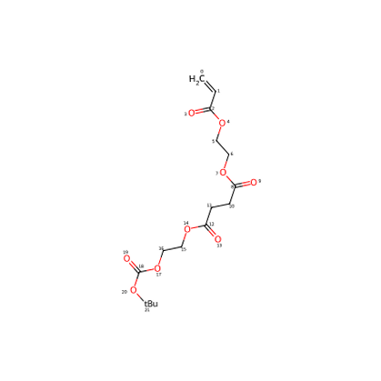 C=CC(=O)OCCOC(=O)CCC(=O)OCCOC(=O)OC(C)(C)C